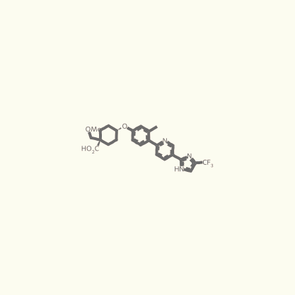 COC[C@]1(C(=O)O)CC[C@H](Oc2ccc(-c3ccc(-c4nc(C(F)(F)F)c[nH]4)cn3)c(C)c2)CC1